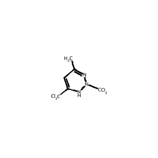 CC1=NN(C(Cl)(Cl)Cl)NC(C(Cl)(Cl)Cl)=C1